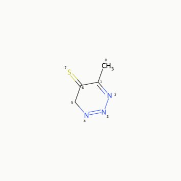 CC1=NN=NCC1=S